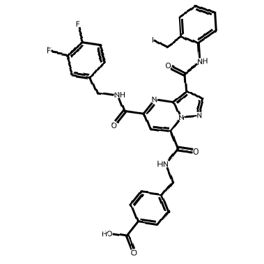 O=C(O)c1ccc(CNC(=O)c2cc(C(=O)NCc3ccc(F)c(F)c3)nc3c(C(=O)Nc4ccccc4CI)cnn23)cc1